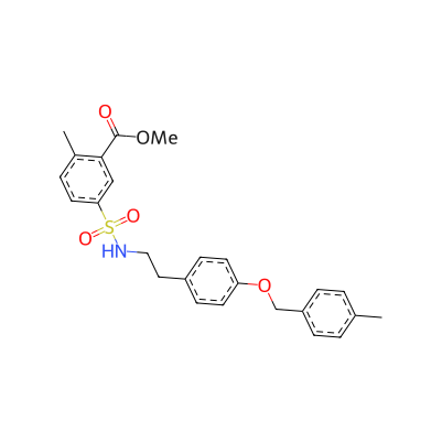 COC(=O)c1cc(S(=O)(=O)NCCc2ccc(OCc3ccc(C)cc3)cc2)ccc1C